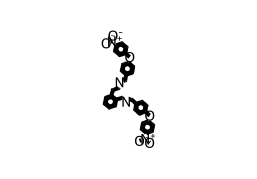 O=[N+]([O-])c1ccc(Oc2ccc(C=NCCc3ccccc3CN=Cc3ccc(Oc4ccc([N+](=O)[O-])cc4)cc3)cc2)cc1